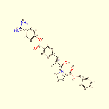 C/C(=C\c1ccc(C(=O)Oc2ccc(C(=N)N)cc2)cc1)C(=O)N1CCC[C@H]1C(=O)OCc1ccccc1